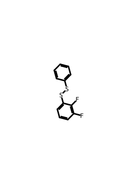 Fc1cccc(SSc2ccccc2)c1F